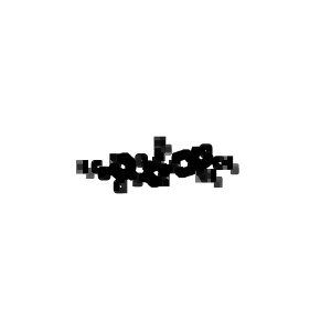 COc1nccc(Sc2cnc(N3CCC4(CC3)CO[C@@H](C)[C@H]4N)n(C)c2=O)c1Cl